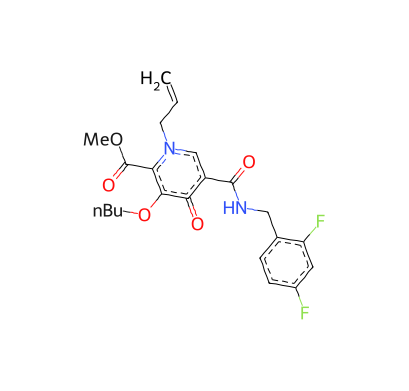 C=CCn1cc(C(=O)NCc2ccc(F)cc2F)c(=O)c(OCCCC)c1C(=O)OC